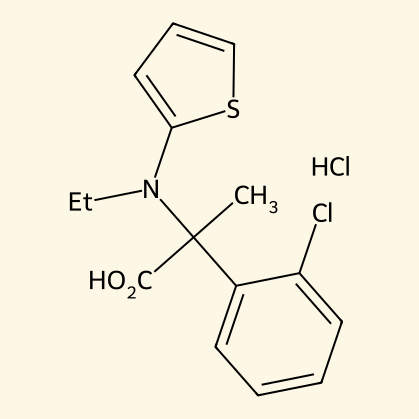 CCN(c1cccs1)C(C)(C(=O)O)c1ccccc1Cl.Cl